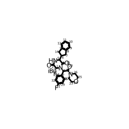 CCC(C)[C@@H]1C(=O)NC(C2Cc3ccccc3C2)C(=O)N1C(C(=O)N1CCOCC1)c1ccc(F)cc1F